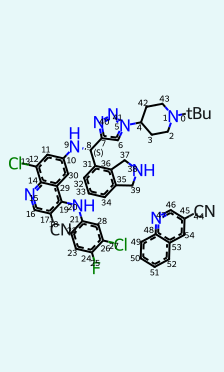 CC(C)(C)N1CCC(n2cc([C@@H](Nc3cc(Cl)c4ncc(C#N)c(Nc5ccc(F)c(Cl)c5)c4c3)c3cccc4c3CNC4)nn2)CC1.N#Cc1cnc2ccccc2c1